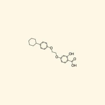 O=C(O)c1ccc(OCCOc2ccc(C3CCCCC3)cc2)cc1O